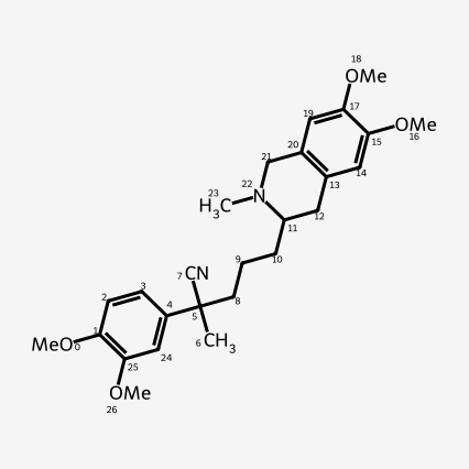 COc1ccc(C(C)(C#N)CCCC2Cc3cc(OC)c(OC)cc3CN2C)cc1OC